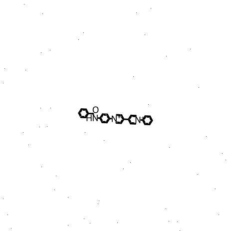 O=C(Nc1ccc(-[n+]2ccc(-c3cc[n+](-c4ccccc4)cc3)cc2)cc1)c1ccccc1